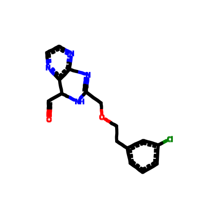 O=CC1NC(COCCc2cccc(Cl)c2)=Nc2nccnc21